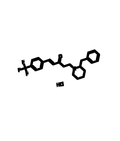 Cl.O=C(C=Cc1ccc(C(F)(F)F)cc1)CCN1CCCCC1Cc1ccccc1